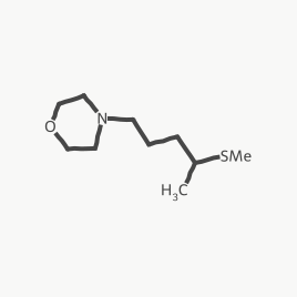 CSC(C)CCCN1CCOCC1